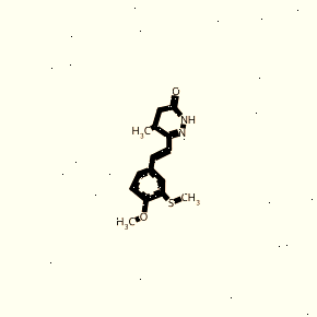 COc1ccc(C=CC2=NNC(=O)CC2C)cc1SC